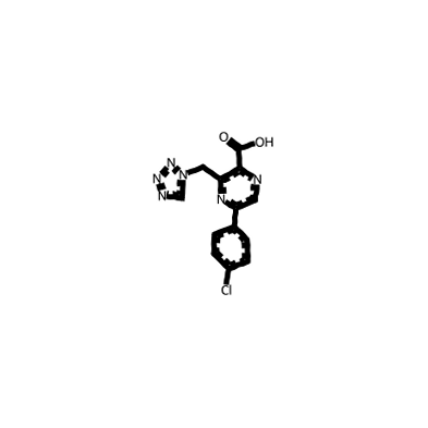 O=C(O)c1ncc(-c2ccc(Cl)cc2)nc1Cn1cnnn1